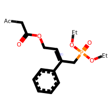 CCOP(=O)(C/C(=C/COC(=O)CC(C)=O)c1ccccc1)OCC